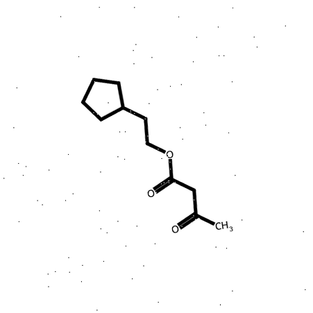 CC(=O)CC(=O)OCCC1CCCC1